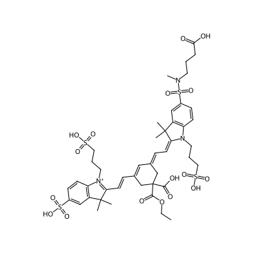 CCOC(=O)C1(C(=O)O)CC(/C=C/C2=[N+](CCCS(=O)(=O)O)c3ccc(S(=O)(=O)O)cc3C2(C)C)=CC(=C/C=C2/N(CCCS(=O)(=O)O)c3ccc(S(=O)(=O)N(C)CCCC(=O)O)cc3C2(C)C)/C1